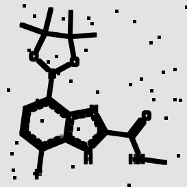 CNC(=O)c1nc2c(B3OC(C)(C)C(C)(C)O3)ccc(F)c2[nH]1